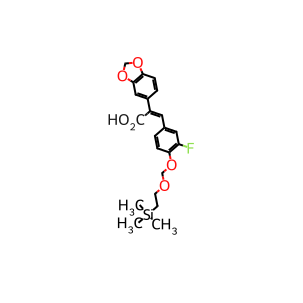 C[Si](C)(C)CCOCOc1ccc(C=C(C(=O)O)c2ccc3c(c2)OCO3)cc1F